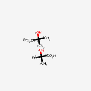 CCC(C)(O)C(=O)O.CCOC(=O)C(C)(C)O